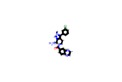 Cn1nc2c(c1-c1cccc(Cl)c1)CCN(C(=O)c1ccc3nccnc3c1)[C@H]2N